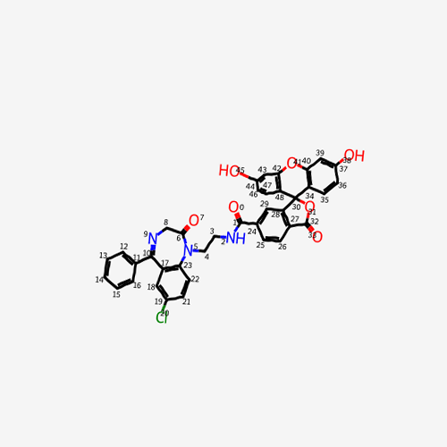 O=C(NCCN1C(=O)CN=C(c2ccccc2)c2cc(Cl)ccc21)c1ccc2c(c1)C1(OC2=O)c2ccc(O)cc2Oc2cc(O)ccc21